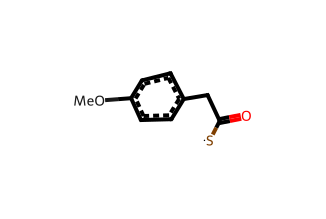 COc1ccc(CC(=O)[S])cc1